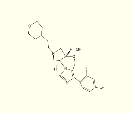 Cl.Fc1ccc(-c2nnn3c2CO[C@H]2CN(CCC4CCOCC4)C[C@@H]23)c(F)c1